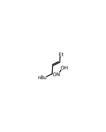 CC/C=C/CCCCC.O=NO